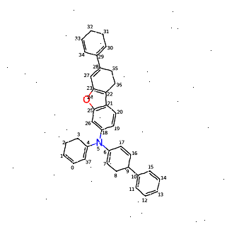 C1=CCCC(N(C2=CCC(c3ccccc3)C=C2)c2ccc3c4c(oc3c2)C=C(C2=CCCC=C2)CC4)=C1